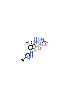 C[C@@]1(c2cccc(Nc3ccc(C4CC4)nc3)c2Cl)CC(=O)N(C2CCOCC2)C(=N)N1